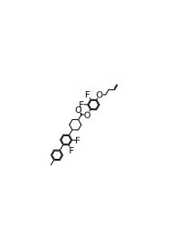 C=CCCOc1ccc(OC(=O)C2CCC(c3ccc(-c4ccc(C)cc4)c(F)c3F)CC2)c(F)c1F